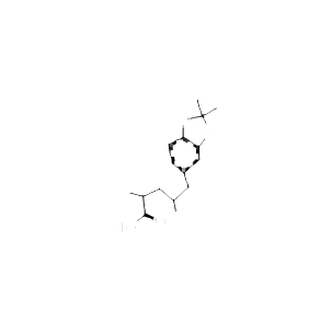 CC(Cc1ccc2c(c1)OC(C)(C)O2)CC(C)C(=O)O